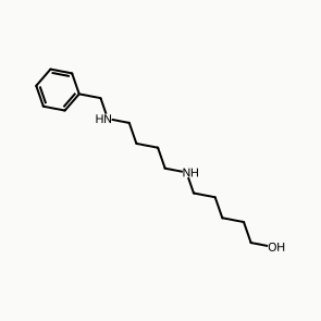 OCCCCCNCCCCNCc1ccccc1